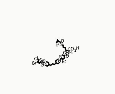 O=C(NCCCCC(NS(=O)(=O)c1cnc(N2CCC(CCCC3CCN(S(=O)(=O)c4cc(Br)c(Cl)s4)CC3)CC2)c(Br)c1)C(=O)O)C1CC1